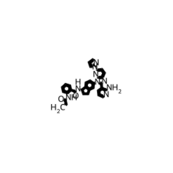 C=CC(=O)Nc1ccccc1C(=O)N[C@H]1CCc2cc(-n3c(-c4cccnc4N)nc4ccc(-n5cccn5)nc43)ccc21